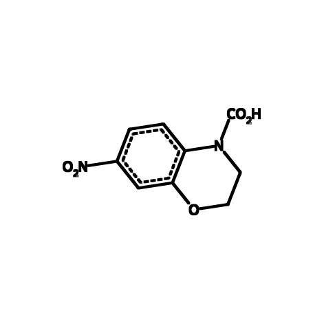 O=C(O)N1CCOc2cc([N+](=O)[O-])ccc21